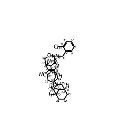 N#Cc1cnc(NCc2ccccc2Cl)nc1NCC1C[C@H]2CCC[C@@H](C1)[C@@H]2NC1CCN(C2CCOCC2)CC1